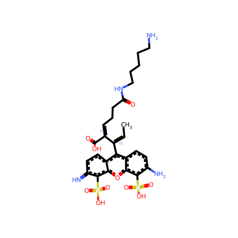 C/C=C(\C(=C/CCC(=O)NCCCCCN)C(=O)O)c1c2ccc(=N)c(S(=O)(=O)O)c-2oc2c(S(=O)(=O)O)c(N)ccc12